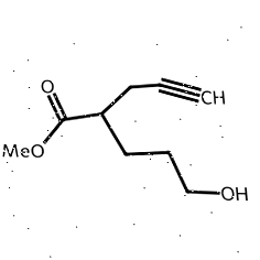 C#CCC(CCCO)C(=O)OC